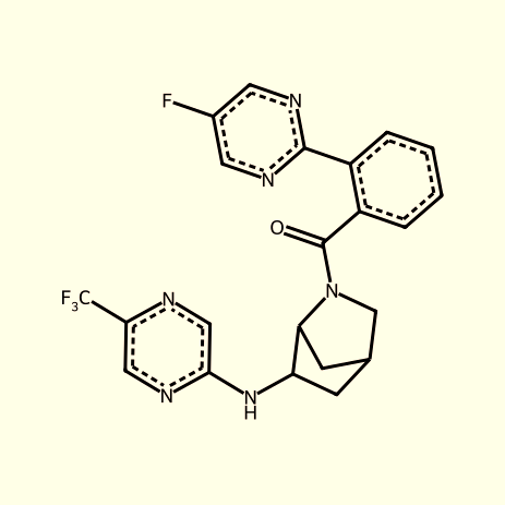 O=C(c1ccccc1-c1ncc(F)cn1)N1CC2CC(Nc3cnc(C(F)(F)F)cn3)C1C2